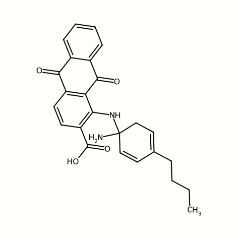 CCCCC1=CCC(N)(Nc2c(C(=O)O)ccc3c2C(=O)c2ccccc2C3=O)C=C1